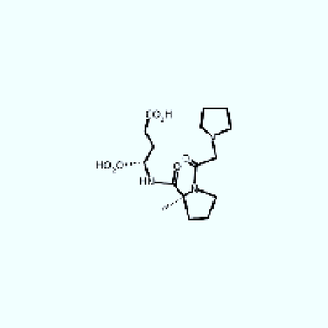 C[C@@]1(C(=O)N[C@@H](CCC(=O)O)C(=O)O)CCCN1C(=O)CN1CCCC1